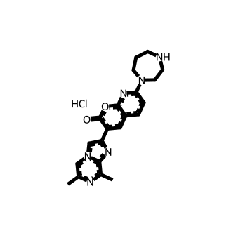 Cc1cn2cc(-c3cc4ccc(N5CCCNCC5)nc4oc3=O)nc2c(C)n1.Cl